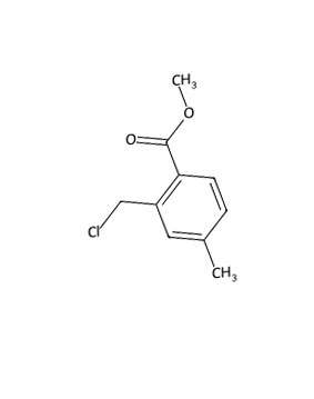 COC(=O)c1ccc(C)cc1CCl